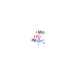 [Mo].[NH4+].[Ni].[OH-]